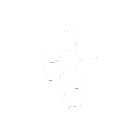 CO/N=C(\Oc1cc(-c2ccccc2F)ccc1C)C(=O)OC